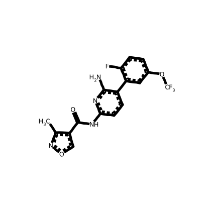 Cc1nocc1C(=O)Nc1ccc(-c2cc(OC(F)(F)F)ccc2F)c(N)n1